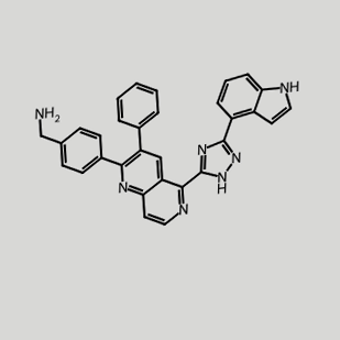 NCc1ccc(-c2nc3ccnc(-c4nc(-c5cccc6[nH]ccc56)n[nH]4)c3cc2-c2ccccc2)cc1